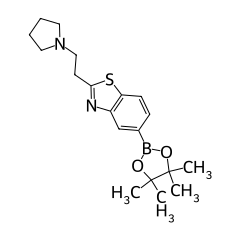 CC1(C)OB(c2ccc3sc(CCN4CCCC4)nc3c2)OC1(C)C